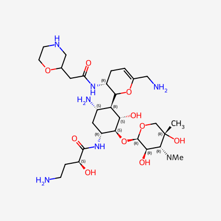 CN[C@@H]1[C@@H](O)[C@@H](O[C@@H]2[C@@H](O)[C@H](C3OC(CN)=CC[C@H]3NC(=O)CC3CNCCO3)[C@@H](N)C[C@H]2NC(=O)[C@@H](O)CCN)OC[C@]1(C)O